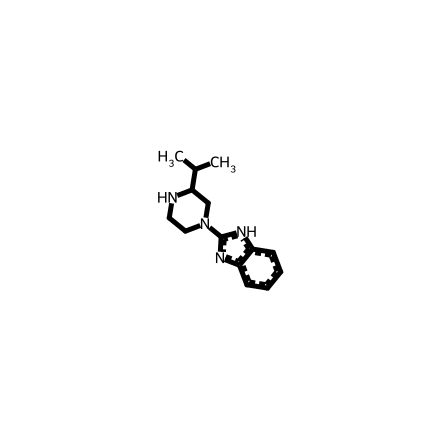 CC(C)C1CN(c2nc3ccccc3[nH]2)CCN1